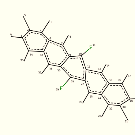 Cc1c(C)c(C)c2c(C)c3c(F)c4c(C)c5c(C)c(C)c(C)c(C)c5c(C)c4c(F)c3c(C)c2c1C